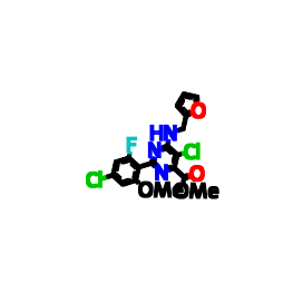 COC(=O)c1nc(-c2c(F)cc(Cl)cc2OC)nc(NCc2ccco2)c1Cl